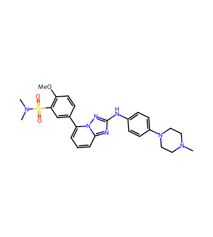 COc1ccc(-c2cccc3nc(Nc4ccc(N5CCN(C)CC5)cc4)nn23)cc1S(=O)(=O)N(C)C